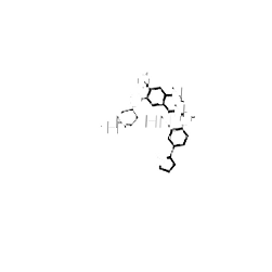 [2H]N1CCC(Oc2cc3c(Nc4cc(-c5cccs5)ccc4OC)ncnc3cc2OC)C1